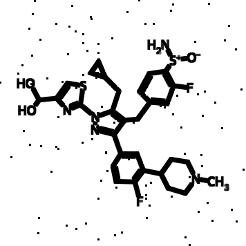 CN1CCC(c2cc(-c3nn(-c4nc(C(O)O)cs4)c(CC4CC4)c3Cc3ccc([S+](N)[O-])c(F)c3)ccc2F)CC1